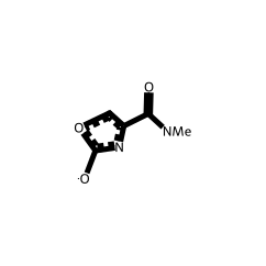 CNC(=O)c1coc([O])n1